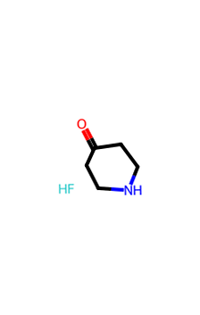 F.O=C1CCNCC1